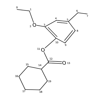 CCOc1cc(CC)ccc1OC(=O)C1CCCCC1